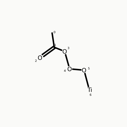 CC(=O)OO[O][Ti]